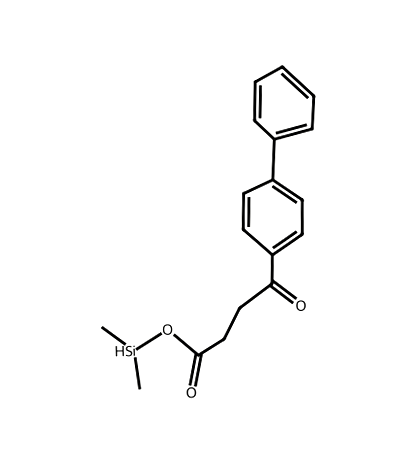 C[SiH](C)OC(=O)CCC(=O)c1ccc(-c2ccccc2)cc1